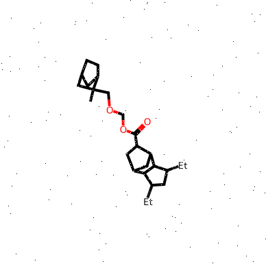 CCC1CC(CC)C2C3CC(CC3C(=O)OCOCC3(C)CC4CCC3C4)C12